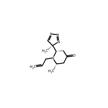 C=CCN1[C@H]([C@@]2(C)C=NN=N2)CC(=O)C[C@@H]1C